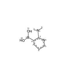 CN(C)c1ncccc1B(O)O